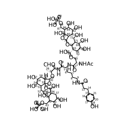 CC(=O)N[C@H](C(=O)N[C@@H](CCCCNC(=O)CCc1ccc(O)cc1)C(=O)N[C@H](C=O)[C@@H](C)OC1OC2(OC(O)[C@H]3C[C@@H](O)[C@H](O)C(COP(=O)(O)O)C3O)C(CO)[C@@H](O)[C@H](O)C[C@H]12)[C@@H](C)OC(O)[C@H]1C[C@@H](O)[C@H](O)C(CO)C1OC1OC2(O)C1C[C@@H](O)[C@H](O)C2COP(=O)(O)O